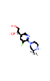 C[C@H]1CN(c2ncc([C@H](O)CO)cc2F)CCN1